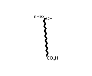 CCCCCCC(O)CCCCCCCCCCCCCCCC(=O)O